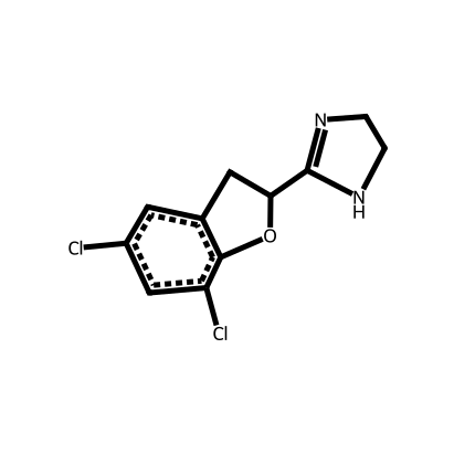 Clc1cc(Cl)c2c(c1)CC(C1=NCCN1)O2